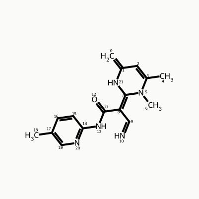 C=C1C=C(C)N(C)/C(=C(\C=N)C(=O)Nc2ccc(C)cn2)N1